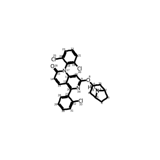 CN1C2CCC1CC(Oc1cc3c(ccc(=O)n3-c3c(Cl)cccc3Cl)c(-c3ccccc3Cl)n1)C2